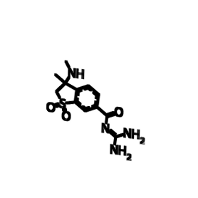 CNC1(C)CS(=O)(=O)c2cc(C(=O)N=C(N)N)ccc21